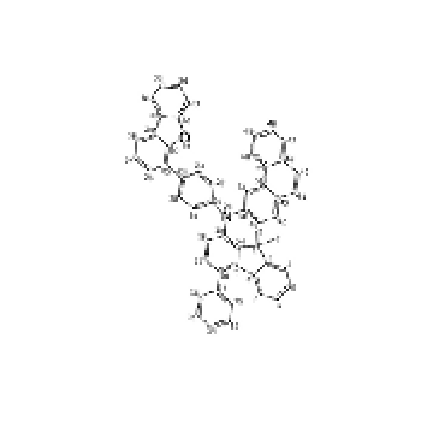 CC1(C)c2ccccc2-c2c(-c3ccccc3)ccc(N(c3ccc(-c4cccc5c4oc4ccccc45)cc3)c3ccc4ccc5ccccc5c4c3)c21